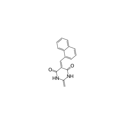 C=c1[nH]c(=O)c(=Cc2cccc3ccccc23)c(=O)[nH]1